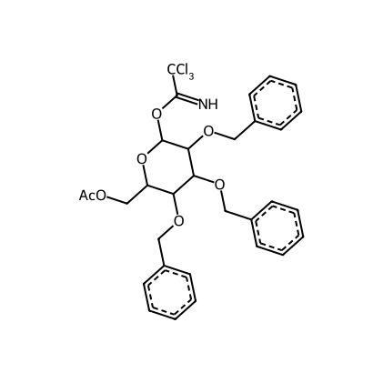 CC(=O)OCC1OC(OC(=N)C(Cl)(Cl)Cl)C(OCc2ccccc2)C(OCc2ccccc2)C1OCc1ccccc1